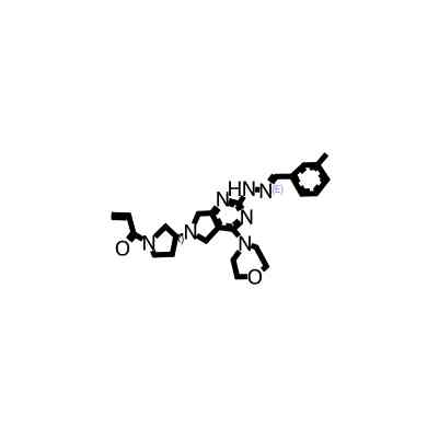 C=CC(=O)N1CC[C@@H](N2Cc3nc(N/N=C/c4cccc(C)c4)nc(N4CCOCC4)c3C2)C1